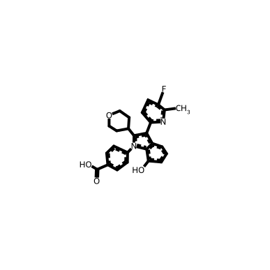 Cc1nc(-c2c(C3CCOCC3)n(-c3ccc(C(=O)O)cc3)c3c(O)cccc23)ccc1F